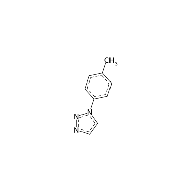 Cc1ccc(-n2ccnn2)cc1